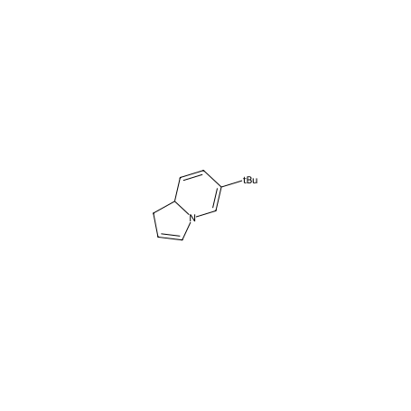 CC(C)(C)C1=CN2C=CCC2C=C1